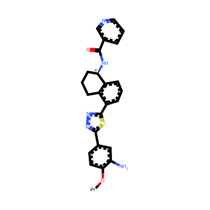 CC(C)Oc1ccc(-c2nnc(-c3cccc4c3CCC[C@H]4NC(=O)c3cccnc3)s2)cc1N